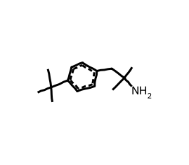 CC(C)(N)Cc1ccc(C(C)(C)C)cc1